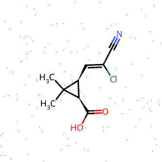 CC1(C)[C@H](C(=O)O)[C@@H]1/C=C(\Cl)C#N